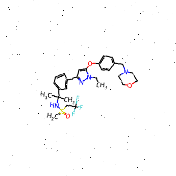 C=S(=O)(CC(F)(F)F)NC(C)(C)c1cccc(-c2cc(Oc3ccc(CN4CCOCC4)cc3)n(CC)n2)c1